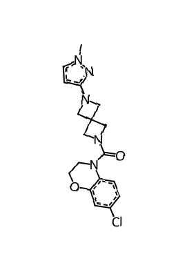 Cn1ccc(N2CC3(CN(C(=O)N4CCOc5cc(Cl)ccc54)C3)C2)n1